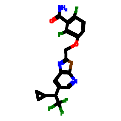 NC(=O)c1c(F)ccc(OCc2nc3cc(C(C4CC4)C(F)(F)F)cnc3s2)c1F